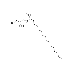 CCCCCCCCCCCCCCCC(OC)OCC(O)CO